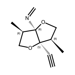 C#C[C@]12OC[C@@H](C)[C@@]1(N=C)OC[C@H]2C